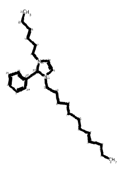 CCCCCCCCCCCCN1C=CN(CCCCCC)C1c1ccccc1